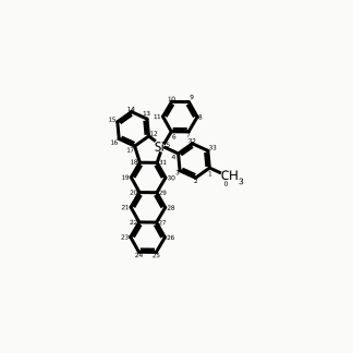 Cc1ccc([Si]2(c3ccccc3)c3ccccc3-c3cc4cc5ccccc5cc4cc32)cc1